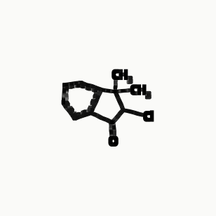 CC1(C)c2ccccc2C(=O)C1Cl